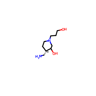 NC[C@@H]1CCN(CCCO)CC1O